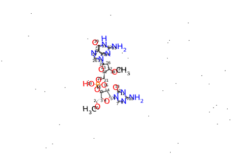 COC[C@H]1O[C@@H](n2cnc(N)nc2=O)CC1OP(=O)(O)OC[C@H]1O[C@@H](n2cnc3c(=O)[nH]c(N)nc32)CC1OC